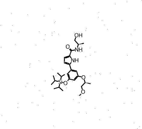 COC[C@H](C)Oc1cc(O[Si](C(C)C)(C(C)C)C(C)C)cc(-c2ccc(C(=O)N[C@H](C)CO)[nH]2)c1